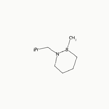 CB1CCCCN1CC(C)C